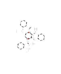 Cc1ccccc1C(=O)OC1C(OC(=O)c2ccccc2C(F)(F)F)[C@H]2c3ccccc3[C@H]1c1ccccc12